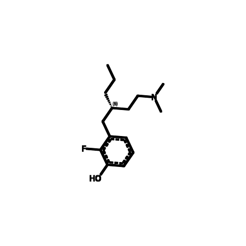 CCC[C@H](CCN(C)C)Cc1cccc(O)c1F